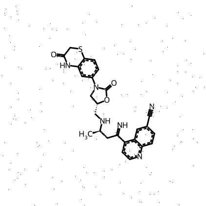 C[C@H](CC(=N)c1ccnc2ccc(C#N)cc12)NC[C@@H]1CN(c2ccc3c(c2)NC(=O)CS3)C(=O)O1